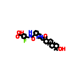 CCCC1(C(=O)NCc2cccc(C(=O)NCc3ccc(C(=O)O)cc3F)c2)CC[C@]2(C)C(CCC3C4(C)CCC(O)C(C)(C)C4CCC32C)C1C